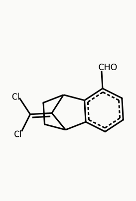 O=Cc1cccc2c1C1CCC2C1=C(Cl)Cl